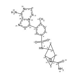 Cc1ccc(S(=O)(=O)NC23CC2C2NC3C3CC32C(N)=O)cc1-c1cnc2c(N)ncnn12